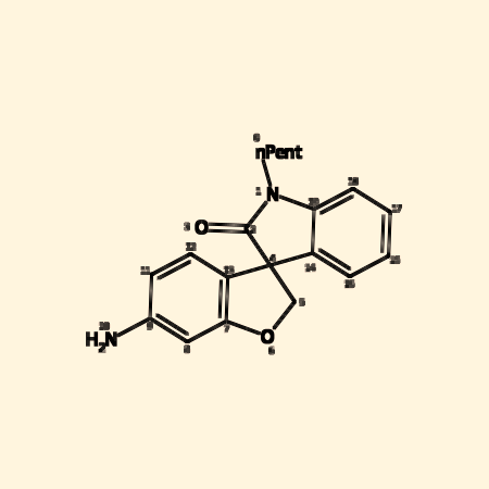 CCCCCN1C(=O)C2(COc3cc(N)ccc32)c2ccccc21